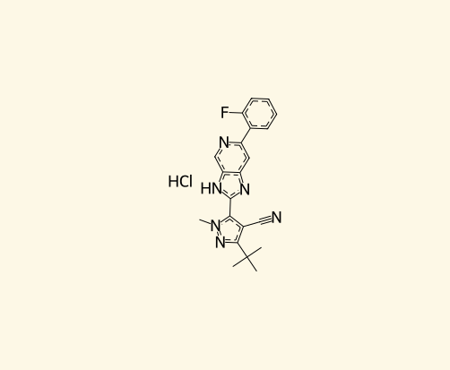 Cl.Cn1nc(C(C)(C)C)c(C#N)c1-c1nc2cc(-c3ccccc3F)ncc2[nH]1